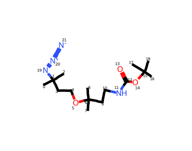 CC(C)(CCOC(C)(C)CCNC(=O)OC(C)(C)C)N=[N+]=[N-]